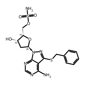 Nc1ncnc2c1c(SCc1ccccc1)nn2[C@H]1C[C@H](O)[C@H](COS(N)(=O)=O)O1